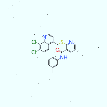 Cc1cccc(NC(=O)c2cccnc2SCc2ccnc3c(Cl)c(Cl)ccc23)c1